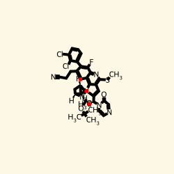 CSc1nc2c(F)c(-c3cccc(Cl)c3Cl)c(CCC#N)cc2c2c1cc([C@@H](C)n1ccncc1=O)n2[C@H]1[C@@H]2C[C@H]1N(C(=O)OC(C)(C)C)C2